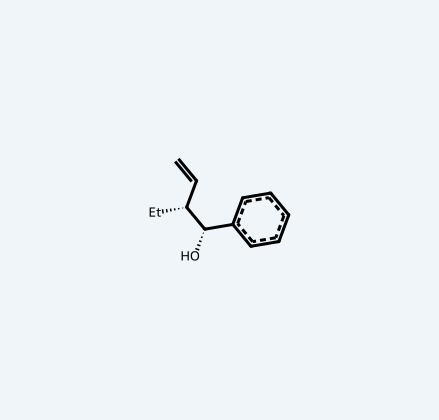 C=C[C@@H](CC)[C@@H](O)c1ccccc1